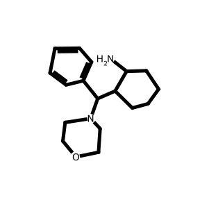 NC1CCCCC1C(c1ccccc1)N1CCOCC1